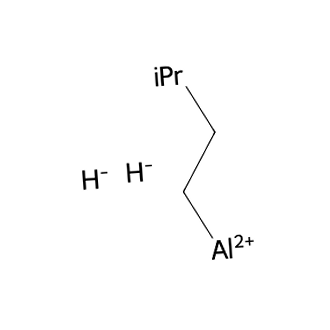 CC(C)C[CH2][Al+2].[H-].[H-]